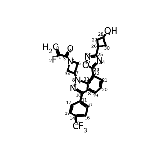 C=C(F)C(=O)N1CC(n2nc(-c3ccc(C(F)(F)F)cc3)c3cccc(-c4nc(C5CC(O)C5)no4)c32)C1